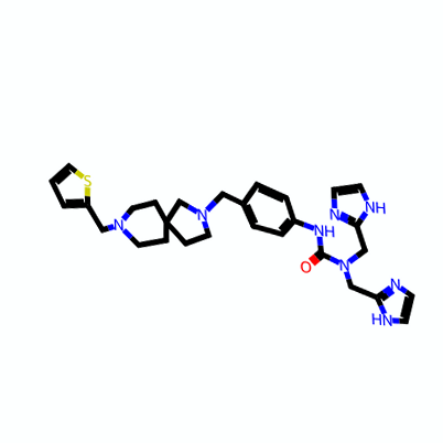 O=C(Nc1ccc(CN2CCC3(CCN(Cc4cccs4)CC3)C2)cc1)N(Cc1ncc[nH]1)Cc1ncc[nH]1